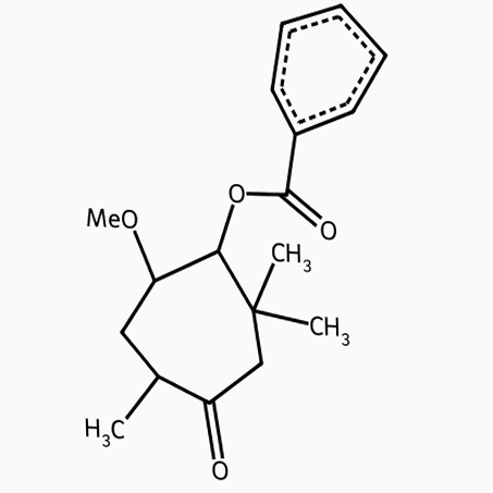 COC1CC(C)C(=O)CC(C)(C)C1OC(=O)c1ccccc1